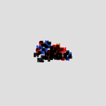 CC(C)C(=O)Nc1nc2c(ncn2[C@@H]2O[C@H](CO)[C@@H](O[Si](C)(C)C(C)(C)C)[C@H]2O[P@@](=S)(OCCC#N)OC[C@H]2C[C@@H](Oc3ccncn3)C[C@@H]2O[PH](=O)O)c(=O)[nH]1